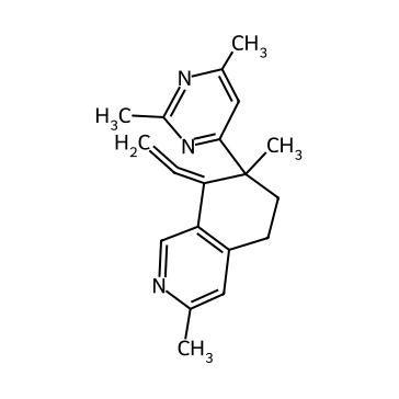 C=C=C1c2cnc(C)cc2CCC1(C)c1cc(C)nc(C)n1